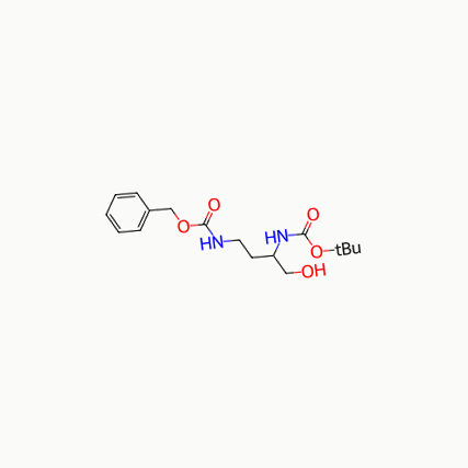 CC(C)(C)OC(=O)NC(CO)CCNC(=O)OCc1ccccc1